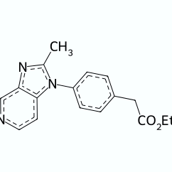 CCOC(=O)Cc1ccc(-n2c(C)nc3cnccc32)cc1